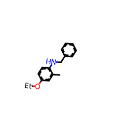 CCOc1ccc(NCc2ccccc2)c(C)c1